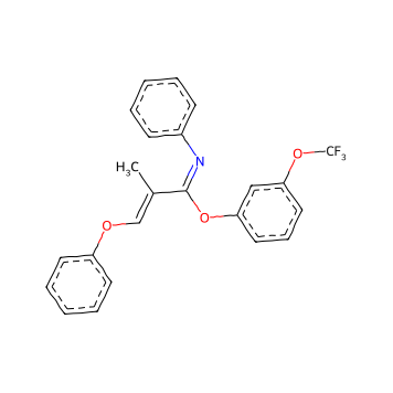 CC(=C\Oc1ccccc1)/C(=N\c1ccccc1)Oc1cccc(OC(F)(F)F)c1